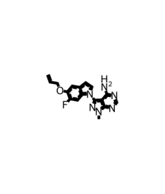 C=CCOc1cc2ccn(-c3nn(C)c4ncnc(N)c34)c2cc1F